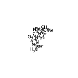 C=CCn1c(=O)c2cnc([S+](C)[O-])nc2n1-c1cccc(C(C)(C)OC)n1